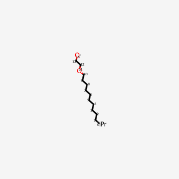 CC(C)CCCCCCCCCCOCC[O]